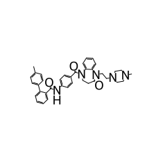 Cc1ccc(-c2ccccc2C(=O)Nc2ccc(C(=O)N3CCC(=O)N(CCN4CCN(C)CC4)c4ccccc43)cc2)cc1